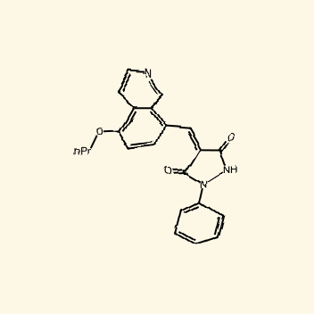 CCCOc1ccc(/C=C2/C(=O)NN(c3ccccc3)C2=O)c2cnccc12